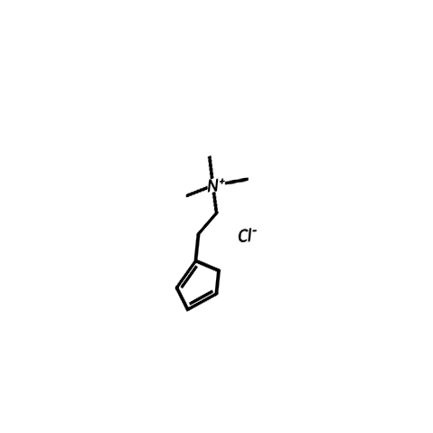 C[N+](C)(C)CCC1=CC=CC1.[Cl-]